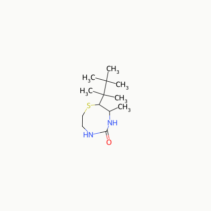 CC1NC(=O)NCCSC1C(C)(C)C(C)(C)C